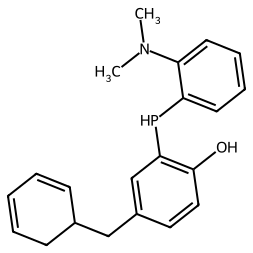 CN(C)c1ccccc1Pc1cc(CC2C=CC=CC2)ccc1O